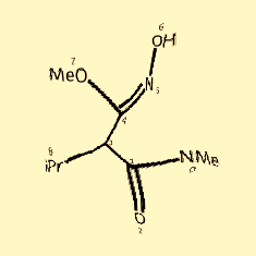 CNC(=O)C(C(=NO)OC)C(C)C